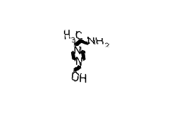 CC(CN)CN1CCN(CCO)CC1